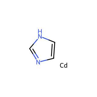 [Cd].c1c[nH]cn1